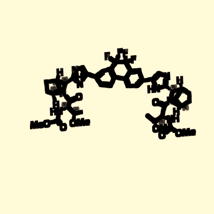 COC(=O)N[C@H](C(=O)N1[C@@H]2CC[C@@H](C2)[C@H]1c1ncc(-c2ccc3c(c2)C(F)(F)C(F)(F)c2cc(-c4cnc([C@@H]5[C@H]6CC[C@H](C6)N5C(=O)[C@@H](NC(=O)OC)[C@@H](C)OC)[nH]4)ccc2-3)[nH]1)[C@@H](C)OC